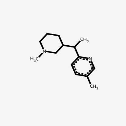 Cc1ccc(C(C)C2CCCN(C)C2)nc1